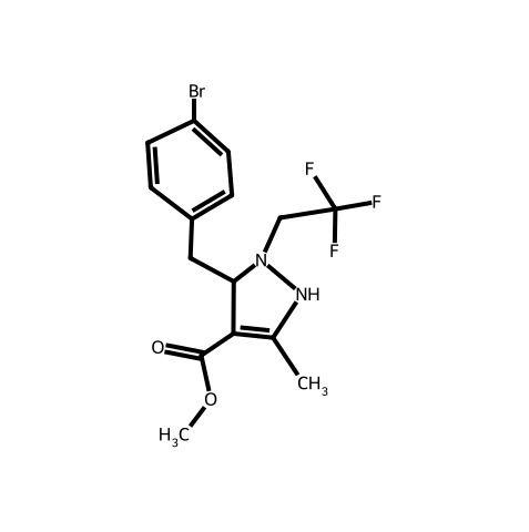 COC(=O)C1=C(C)NN(CC(F)(F)F)C1Cc1ccc(Br)cc1